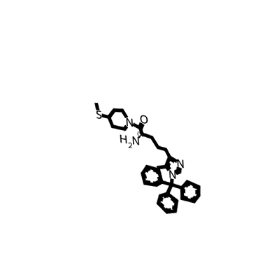 CSC1CCN(C(=O)[C@@H](N)CCCc2ncn(C(c3ccccc3)(c3ccccc3)c3ccccc3)c2C)CC1